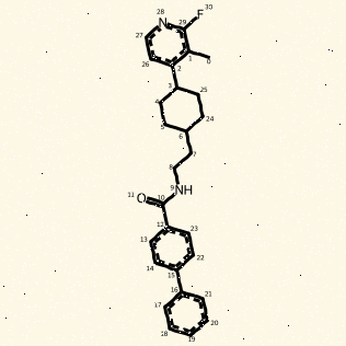 Cc1c(C2CCC(CCNC(=O)c3ccc(-c4ccccc4)cc3)CC2)ccnc1F